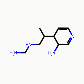 CC(CNCN)C1C=CN=CC1N